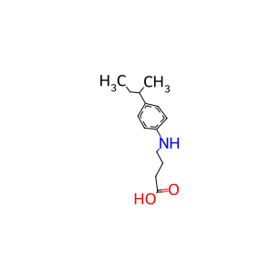 CCC(C)c1ccc(NCCCC(=O)O)cc1